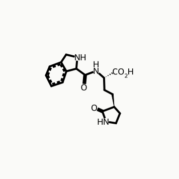 O=C(N[C@@H](CC[C@H]1CCNC1=O)C(=O)O)C1NCc2ccccc21